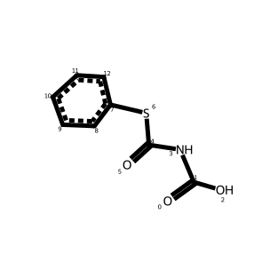 O=C(O)NC(=O)Sc1ccccc1